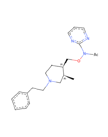 CC(=O)N(OC[C@@H]1CCN(CCc2ccccc2)C[C@@H]1C)c1ncccn1